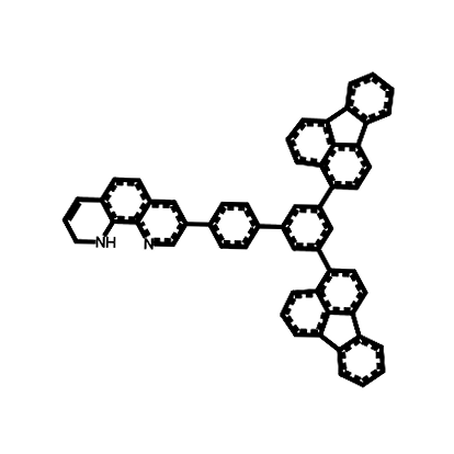 C1=Cc2ccc3cc(-c4ccc(-c5cc(-c6ccc7c8c(cccc68)-c6ccccc6-7)cc(-c6ccc7c8c(cccc68)-c6ccccc6-7)c5)cc4)cnc3c2NC1